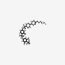 CCCCC1=CCC(C2CCC(C(F)(F)Oc3ccc(C(F)(F)Oc4cc(F)c(C(F)(F)F)c(F)c4)c(F)c3)CC2)CC1